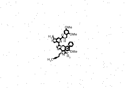 CC#CCCn1nc(C)c(OCc2ccccc2)c1-c1nnc(-c2nc(C(=O)NCc3ccc(OC)cc3OC)cc3c2cnn3C)n1Cc1ccc(OC)cc1